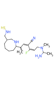 C=C(/C=C(C#N)\C(F)=C/CN(C)C(C)N)C1CCCCC(CNS)CN1